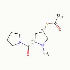 CC(=O)S[C@H]1C[C@@H](C(=O)N2CCCC2)N(C)C1